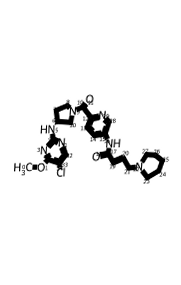 COc1nc(N[C@@H]2CCN(C(=O)c3ccc(NC(=O)/C=C/CN4CCCCC4)cn3)C2)ncc1Cl